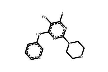 Brc1c(I)nc(N2CCOCC2)nc1Nc1cccnc1